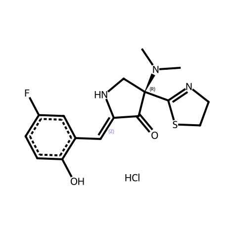 CN(C)[C@]1(C2=NCCS2)CN/C(=C\c2cc(F)ccc2O)C1=O.Cl